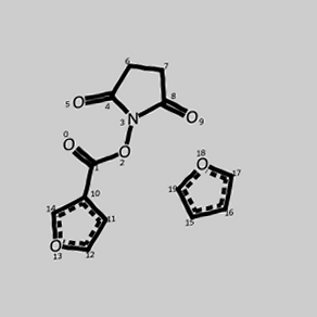 O=C(ON1C(=O)CCC1=O)c1ccoc1.c1ccoc1